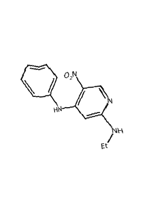 CCNc1cc(Nc2ccccc2)c([N+](=O)[O-])cn1